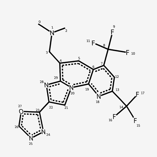 CN(C)Cc1cc2c(C(F)(F)F)cc(C(F)(F)F)nc2n2cc(-c3nnco3)nc12